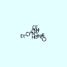 CCc1ccc([C@H]2C[C@@H](C(F)(F)F)n3ncc(C(=O)NCc4ccccc4F)c3N2)cc1